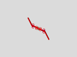 CCCCCCCCCCCCCCCCCCC1CC(=O)N(CCCCCCOC(=O)CCSSCCC(=O)OCCCCCCN2C(=O)CC(CCCCCCCCCCCCCCCCCC)C2=O)C1=O